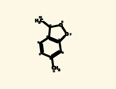 Cc1ccc2c(c1)OOC2C